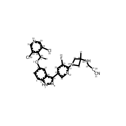 C[C@@H](Oc1ccc2[nH]nc(-c3cnc(N4CC(C)(NCCC#N)C4)c(F)c3)c2c1)c1c(Cl)cncc1Cl